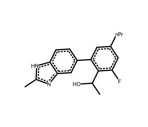 CCCc1cc(F)c(C(C)O)c(-c2ccc3[nH]c(C)nc3c2)c1